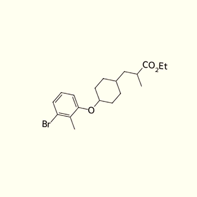 CCOC(=O)C(C)CC1CCC(Oc2cccc(Br)c2C)CC1